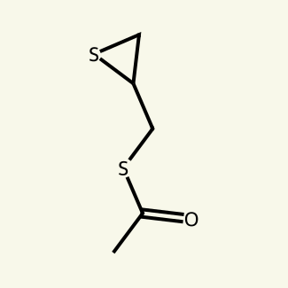 CC(=O)SCC1CS1